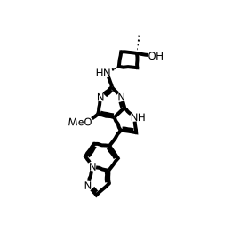 COc1nc(N[C@H]2C[C@](C)(O)C2)nc2[nH]cc(-c3ccn4nccc4c3)c12